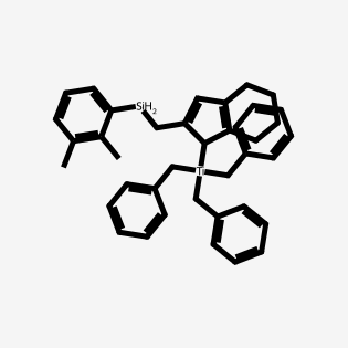 Cc1cccc([SiH2]CC2=CC3=C(CCCC3)[CH]2[Ti]([CH2]c2ccccc2)([CH2]c2ccccc2)[CH2]c2ccccc2)c1C